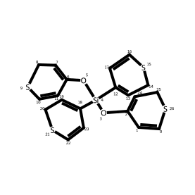 C1=CC(O[Si](OC2=CCSC=C2)(C2=CCSC=C2)C2=CCSC=C2)=CCS1